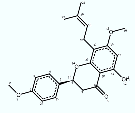 COc1ccc([C@@H]2CC(=O)c3c(O)cc(OC)c(CC=C(C)C)c3O2)cc1